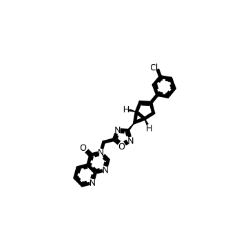 O=c1c2cccnc2ncn1Cc1nc([C@H]2[C@@H]3C=C(c4cccc(Cl)c4)C[C@@H]32)no1